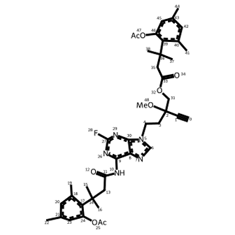 C#CC(CCn1cnc2c(NC(=O)CC(C)(C)c3c(C)cc(C)cc3OC(C)=O)nc(F)nc21)(COC(=O)CC(C)(C)c1c(C)cc(C)cc1OC(C)=O)OC